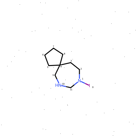 IN1CCC2(CCCC2)CNC1